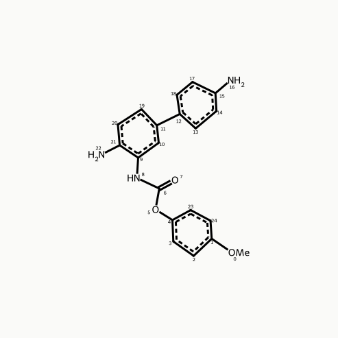 COc1ccc(OC(=O)Nc2cc(-c3ccc(N)cc3)ccc2N)cc1